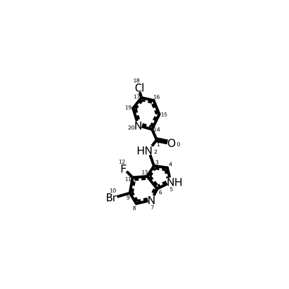 O=C(Nc1c[nH]c2ncc(Br)c(F)c12)c1ccc(Cl)cn1